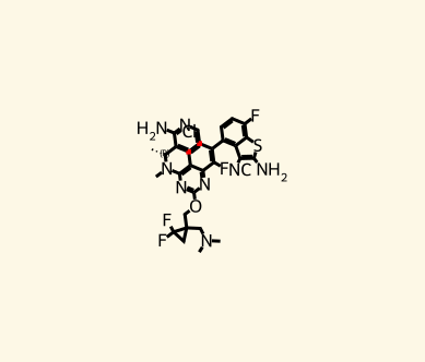 C[C@H](c1cccnc1N)N(C)c1nc(OCC2(CN(C)C)CC2(F)F)nc2c(F)c(-c3ccc(F)c4sc(N)c(C#N)c34)c(Cl)cc12